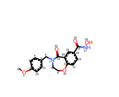 COc1ccc(CN2CCOc3ccc(C(=O)NO)cc3C2=O)cc1